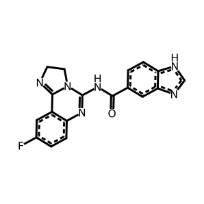 O=C(NC1=Nc2ccc(F)cc2C2=NCCN12)c1ccc2[nH]cnc2c1